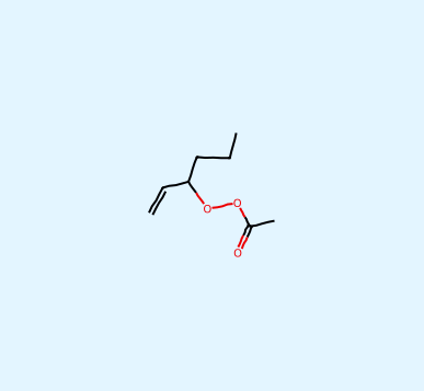 C=CC(CCC)OOC(C)=O